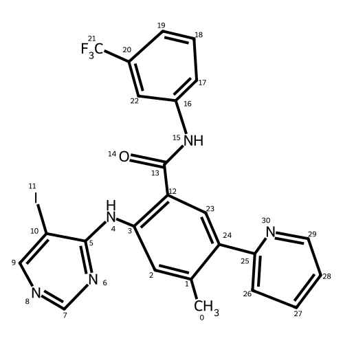 Cc1cc(Nc2ncncc2I)c(C(=O)Nc2cccc(C(F)(F)F)c2)cc1-c1ccccn1